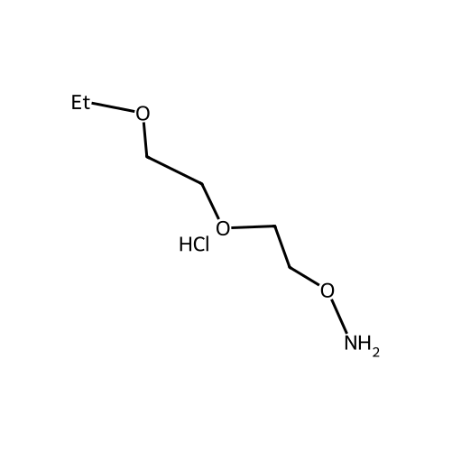 CCOCCOCCON.Cl